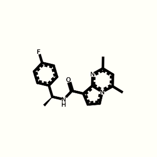 Cc1cc(C)n2ccc(C(=O)N[C@@H](C)c3ccc(F)cc3)c2n1